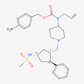 C=CCN(C(=O)OCc1ccc([N+](=O)[O-])cc1)C1CCN(C[C@H]2C[C@@H](NS(C)(=O)=O)C[C@@H]2c2ccccc2)CC1